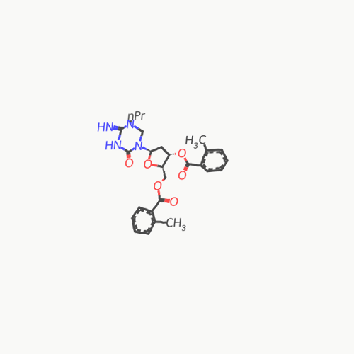 CCCN1CN([C@H]2C[C@H](OC(=O)c3ccccc3C)[C@@H](COC(=O)c3ccccc3C)O2)C(=O)NC1=N